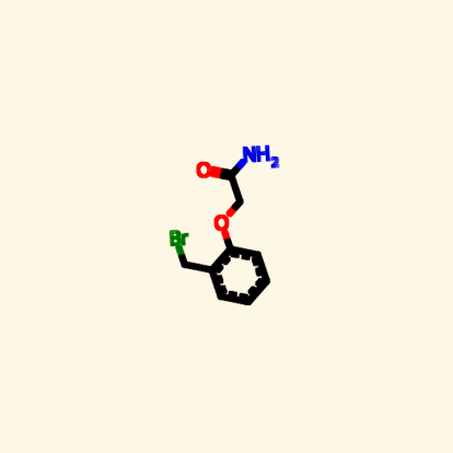 NC(=O)COc1ccccc1CBr